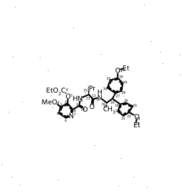 CCOC(=O)Oc1c(OC)ccnc1C(=O)N[C@H](C(=O)N[C@@H](C)C(c1ccc(OCC)cc1)c1ccc(OCC)cc1)C(C)C